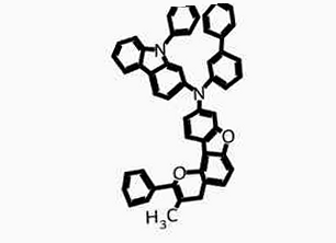 CC1=C(c2ccccc2)Oc2c(ccc3oc4cc(N(c5cccc(-c6ccccc6)c5)c5ccc6c7ccccc7n(-c7ccccc7)c6c5)ccc4c23)C1